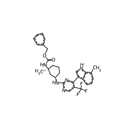 Cc1cccc2c(-c3nc(N[C@@H]4CCC[C@](C)(NC(=O)OCc5ccccc5)C4)ncc3C(F)(F)F)c[nH]c12